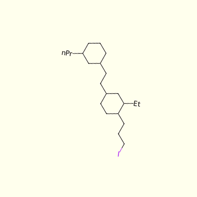 CCCC1CCCC(CCC2CCC(CCCI)C(CC)C2)C1